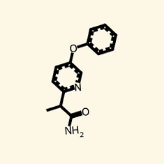 CC(C(N)=O)c1ccc(Oc2ccccc2)cn1